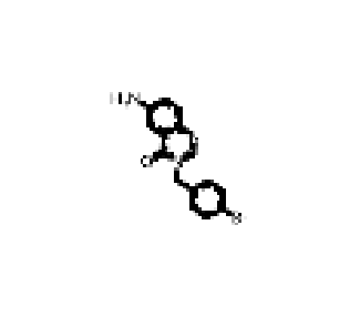 Nc1ccc2ncn(Cc3ccc(Br)cc3)c(=O)c2c1